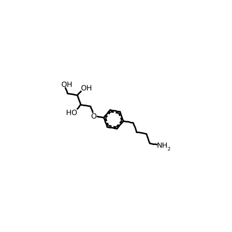 NCCCCc1ccc(OCC(O)C(O)CO)cc1